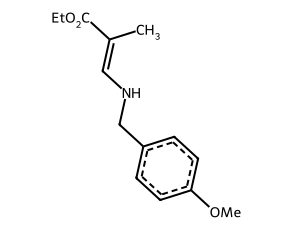 CCOC(=O)C(C)=CNCc1ccc(OC)cc1